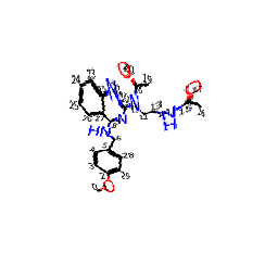 COc1ccc(CNc2nc(N(CCNC(C)=O)C(C)=O)nc3ccccc23)cc1